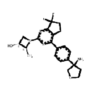 C[C@H]1[C@H](O)CN1c1nc(-c2ccc(C3(N)CCOC3)cc2)c2c(n1)C(F)(F)CC2